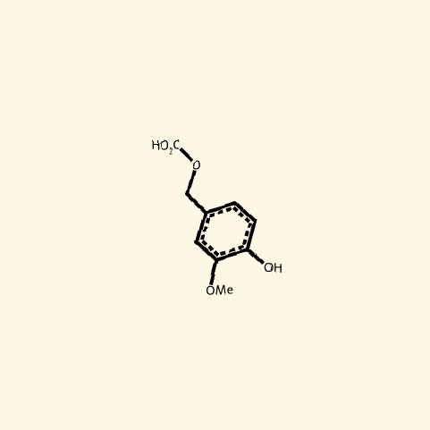 COc1cc(COC(=O)O)ccc1O